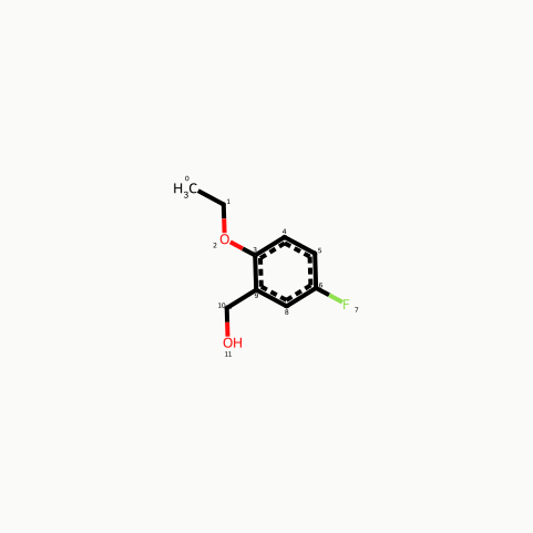 CCOc1ccc(F)cc1[CH]O